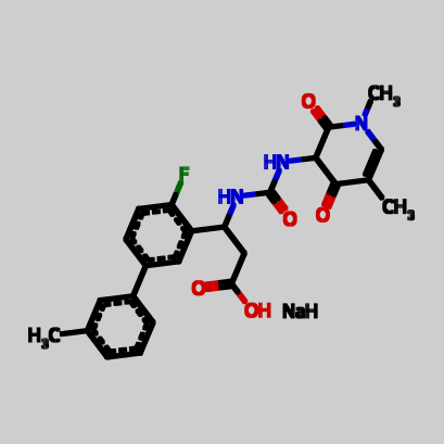 CC1=CN(C)C(=O)C(NC(=O)NC(CC(=O)O)c2cc(-c3cccc(C)c3)ccc2F)C1=O.[NaH]